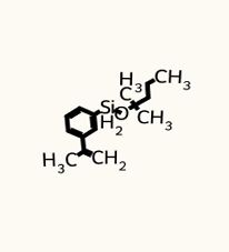 C=C(C)c1cccc([SiH2]OC(C)(C)CCC)c1